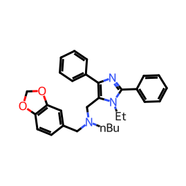 CCCCN(Cc1ccc2c(c1)OCO2)Cc1c(-c2ccccc2)nc(-c2ccccc2)n1CC